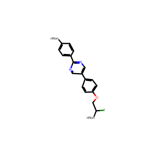 CCCCCCCCCc1ccc(-c2ncc(-c3ccc(OCC(F)CCCCCCCCC)cc3)cn2)cc1